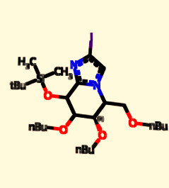 CCCCOCC1[C@@H](OCCCC)C(OCCCC)C(O[Si](C)(C)C(C)(C)C)c2nc(I)cn21